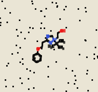 CC(C)(C)[N+]1(CCO)C=NC(CCOc2ccccc2)=N1